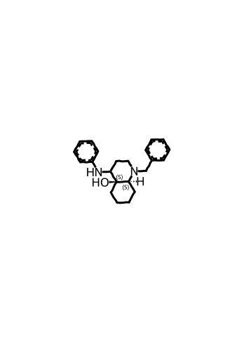 O[C@]12CCCC[C@@H]1N(Cc1ccccc1)CCC2Nc1ccccc1